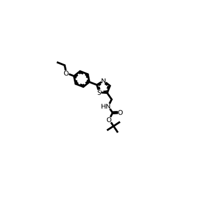 CCOc1ccc(-c2ncc(CNC(=O)OC(C)(C)C)s2)cc1